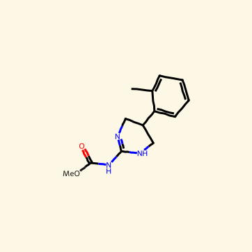 COC(=O)NC1=NCC(c2ccccc2C)CN1